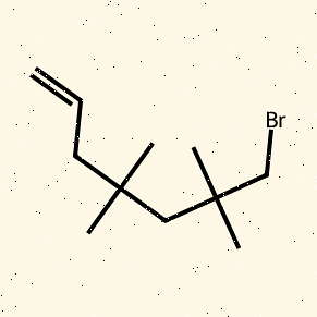 C=CCC(C)(C)CC(C)(C)CBr